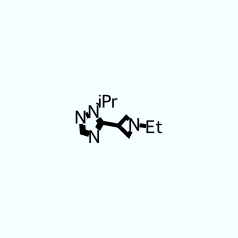 CCN1CC(c2ncnn2C(C)C)C1